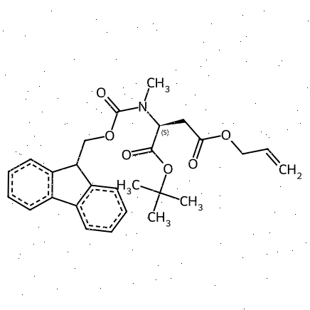 C=CCOC(=O)C[C@@H](C(=O)OC(C)(C)C)N(C)C(=O)OCC1c2ccccc2-c2ccccc21